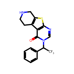 O=c1c2c3c(sc2ncn1C(c1ccccc1)C(F)(F)F)CNCC3